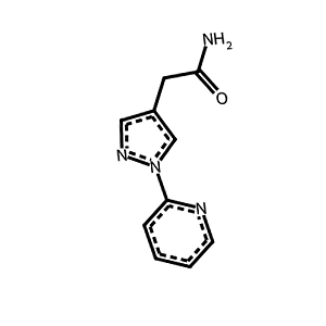 NC(=O)Cc1cnn(-c2ccccn2)c1